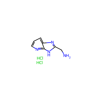 Cl.Cl.NCc1nc2cccnc2[nH]1